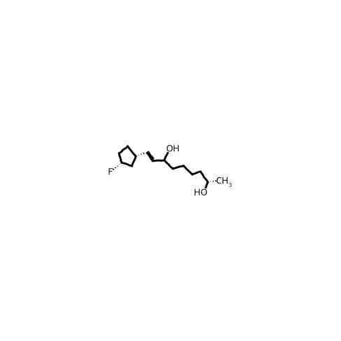 C[C@H](O)CCCCC(O)/C=C/[C@H]1CC[C@@H](F)C1